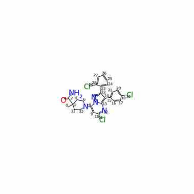 CC1(C(N)=O)CCN(c2cc(Cl)nc3c(-c4ccc(Cl)cc4)c(-c4ccccc4Cl)nn23)CC1